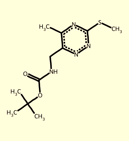 CSc1nnc(CNC(=O)OC(C)(C)C)c(C)n1